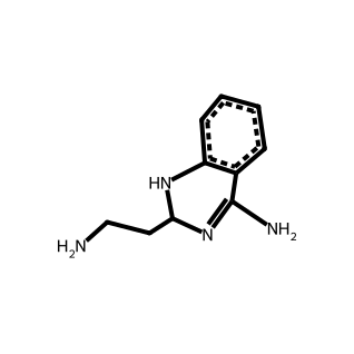 NCCC1N=C(N)c2ccccc2N1